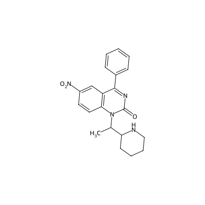 CC(C1CCCCN1)n1c(=O)nc(-c2ccccc2)c2cc([N+](=O)[O-])ccc21